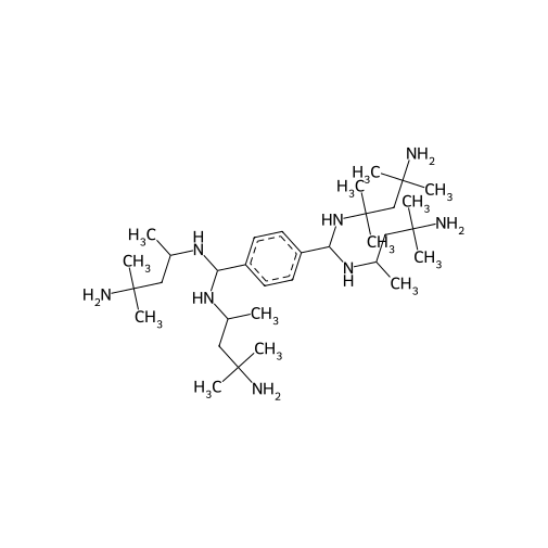 CC(CC(C)(C)N)NC(NC(C)CC(C)(C)N)c1ccc(C(NC(C)CC(C)(C)N)NC(C)(C)CC(C)(C)N)cc1